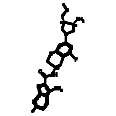 COC[C@H]1CN(c2cc(F)c3c(c2)OC[C@H](NC(=O)c2sc4nc(C)ccc4c2N)C3)C[C@H]1N